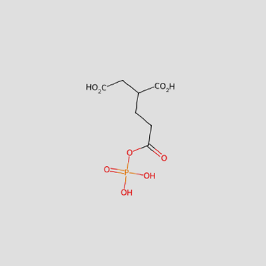 O=C(O)CC(CCC(=O)OP(=O)(O)O)C(=O)O